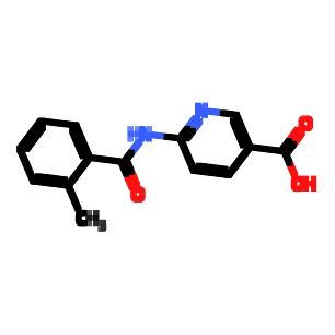 Cc1ccccc1C(=O)Nc1ccc(C(=O)O)cn1